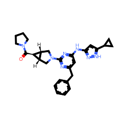 O=C([C@H]1[C@@H]2CN(c3nc(Cc4ccccc4)cc(Nc4cc(C5CC5)[nH]n4)n3)C[C@@H]21)N1CCCC1